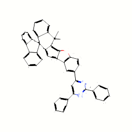 CC1(C)c2ccccc2C2(c3ccccc3-c3ccccc32)c2ccc3c(oc4ccc(-c5cc(-c6ccccc6)nc(-c6ccccc6)n5)cc43)c21